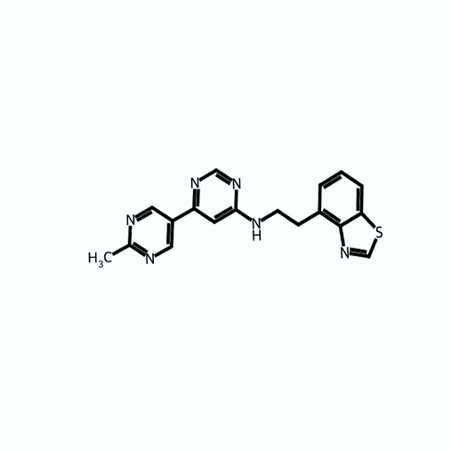 Cc1ncc(-c2cc(NCCc3cccc4scnc34)ncn2)cn1